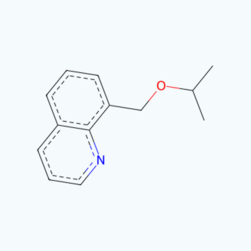 CC(C)OCc1cccc2cccnc12